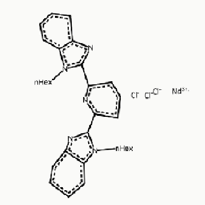 CCCCCCn1c(-c2cccc(-c3nc4ccccc4n3CCCCCC)n2)nc2ccccc21.[Cl-].[Cl-].[Cl-].[Nd+3]